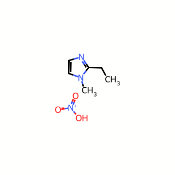 CCc1nccn1C.O=[N+]([O-])O